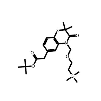 CC(C)(C)OC(=O)Cc1ccc2c(c1)N(COCC[Si](C)(C)C)C(=O)C(C)(C)S2